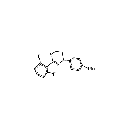 CC(C)(C)c1ccc(C2CCSC(c3c(F)cccc3F)=N2)cc1